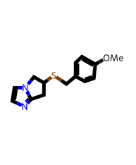 COc1ccc(CSC2Cc3nccn3C2)cc1